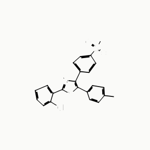 Cc1ccc(-c2sc(-c3ccccc3Cl)nc2-c2ccc(S(C)(=O)=O)cc2)cc1